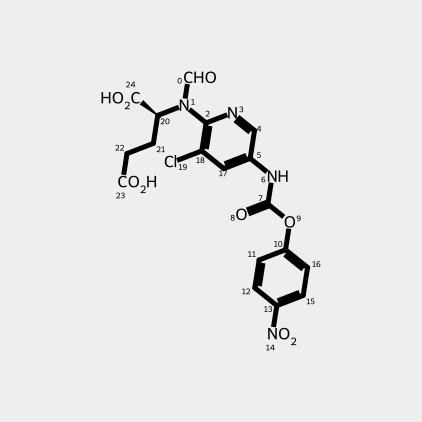 O=CN(c1ncc(NC(=O)Oc2ccc([N+](=O)[O-])cc2)cc1Cl)[C@@H](CCC(=O)O)C(=O)O